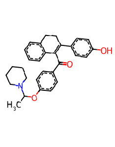 CC(Oc1ccc(C(=O)C2=C(c3ccc(O)cc3)CCc3ccccc32)cc1)N1CCCCC1